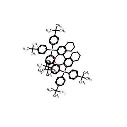 CC(C)(C)c1ccc([Si](c2ccc(C(C)(C)C)cc2)(c2ccc(C(C)(C)C)cc2)c2cc3c(c4c2OP(=O)(O)Oc2c([Si](c5ccc(C(C)(C)C)cc5)(c5ccc(C(C)(C)C)cc5)c5ccc(C(C)(C)C)cc5)cc5c(c2-4)CCCC5)CCCC3)cc1